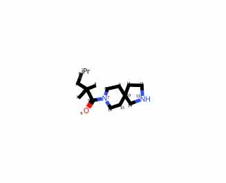 CC(C)CC(C)(C)C(=O)N1CCC2(CCNC2)CC1